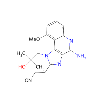 COc1cccc2nc(N)c3nc(CCN=O)n(CC(C)(C)O)c3c12